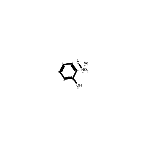 O=[N+]([O-])[O-].Oc1ccccc1.[Ag+]